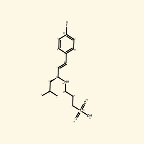 CC(C)C[C@@H](/C=C/c1ccc(F)cc1)NCCCS(=O)(=O)O